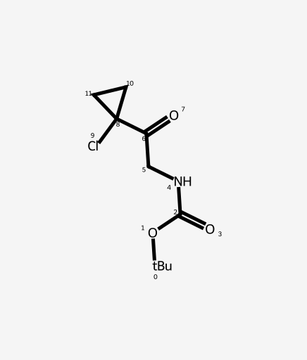 CC(C)(C)OC(=O)NCC(=O)C1(Cl)CC1